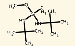 CO[Si](C)(NC(C)(C)C)NC(C)(C)C